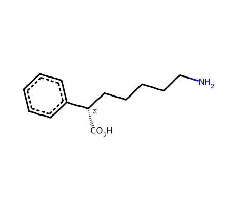 NCCCCC[C@H](C(=O)O)c1ccccc1